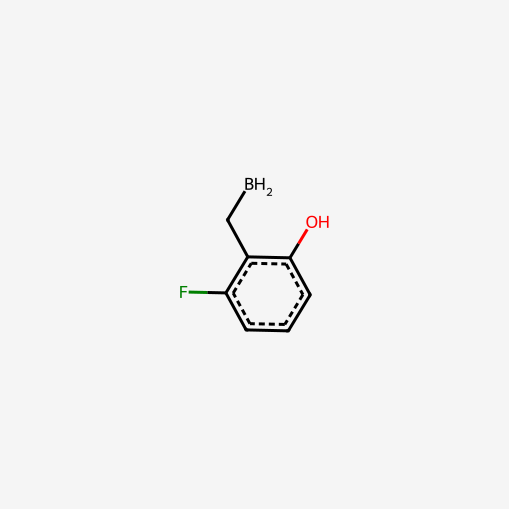 BCc1c(O)cccc1F